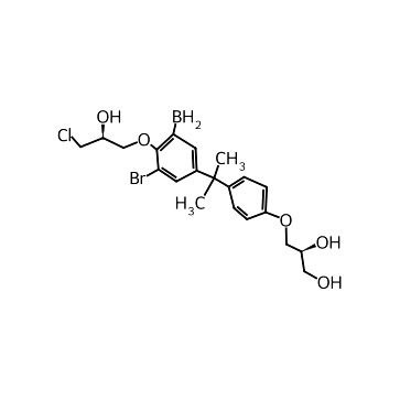 Bc1cc(C(C)(C)c2ccc(OC[C@@H](O)CO)cc2)cc(Br)c1OC[C@H](O)CCl